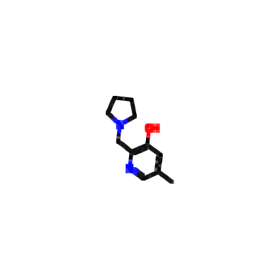 Cc1cnc(CN2CCCC2)c(O)c1